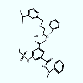 CCS(=O)(=O)Nc1cc(C(=O)N[C@@H](Cc2ccccc2)[C@H](O)CNCc2cccc(C(F)F)c2)cc(C(=O)N[C@H](C)c2ccccc2)c1